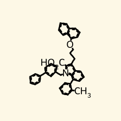 Cc1ccccc1-c1cccc2c(CCCOc3cccc4ccccc34)c(C(=O)O)n(Cc3cccc(-c4ccccc4)c3)c12